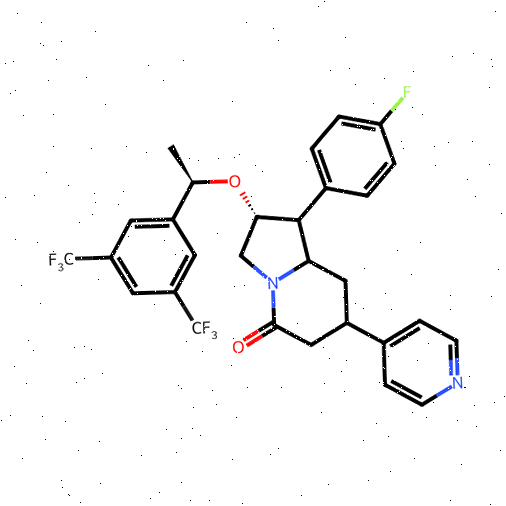 C[C@@H](O[C@H]1CN2C(=O)CC(c3ccncc3)CC2C1c1ccc(F)cc1)c1cc(C(F)(F)F)cc(C(F)(F)F)c1